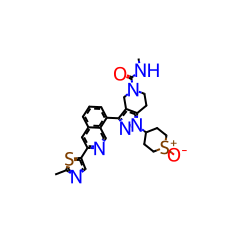 CNC(=O)N1CCc2c(c(-c3cccc4cc(-c5cnc(C)s5)ncc34)nn2C2CC[S+]([O-])CC2)C1